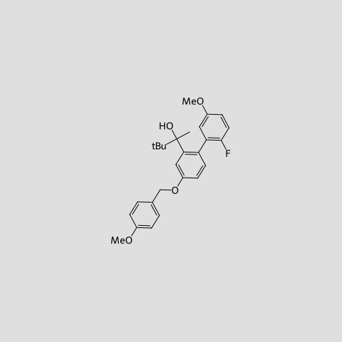 COc1ccc(COc2ccc(-c3cc(OC)ccc3F)c(C(C)(O)C(C)(C)C)c2)cc1